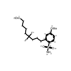 CCCCCCCCCCCCCCC(F)(F)CCCc1cc(OC)ccc1S(N)(=O)=O